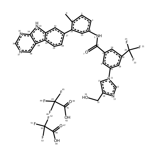 Cc1ccc(NC(=O)c2cc(-n3cnc(CO)c3)cc(C(F)(F)F)c2)cc1-c1ccc2c(c1)[nH]c1ncncc12.O=C(O)C(F)(F)F.O=C(O)C(F)(F)F